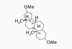 COC1CC[C@@]2(C)C(CC[C@H]3[C@@H]4CC(OC)C[C@@]4(C)CC[C@@H]32)C1